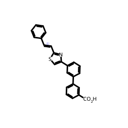 O=C(O)c1cccc(-c2cccc(-c3csc(/C=C/c4ccccc4)n3)c2)c1